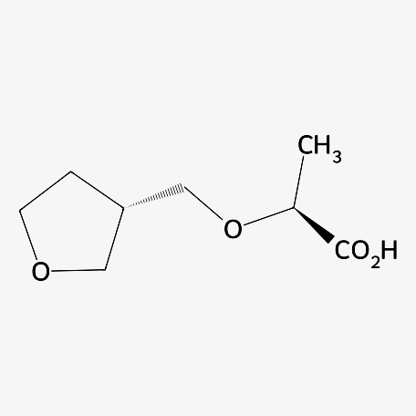 C[C@H](OC[C@H]1CCOC1)C(=O)O